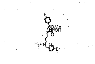 CO[C@H](C[C@H](CCCCN(C)Cc1ccc(Br)cn1)C(=O)NO)c1ccc(F)cc1